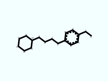 CCc1ccc(CCCCC2CCCCC2)cc1